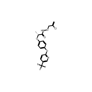 C=C(Cl)CONC(=O)[C@@H](C)Oc1ccc(Oc2ccc(C(F)(F)F)cn2)cc1